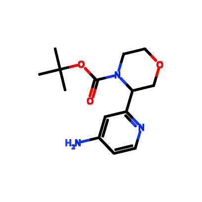 CC(C)(C)OC(=O)N1CCOCC1c1cc(N)ccn1